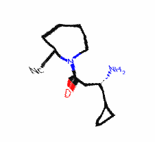 N#CC1CCCCN1C(=O)[C@H](N)C1CC1